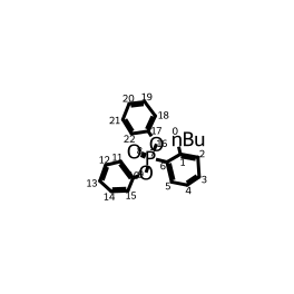 CCCCc1ccccc1P(=O)(Oc1ccccc1)Oc1ccccc1